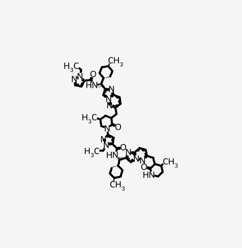 CCn1nccc1C(=O)N[C@H](c1cn2nc(CC3CC(C)CN(c4cc(C(=O)N[C@H](c5cn6nc(CC7C(=O)NCCC7C)ccc6n5)[C@H]5CC[C@H](C)CC5)n(CC)n4)C3=O)ccc2n1)[C@H]1CC[C@H](C)CC1